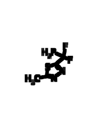 Cc1nnc(C(F)(F)P)s1